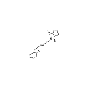 COc1ccccc1C(=O)NCCCCNCC1Cc2ccccc2O1